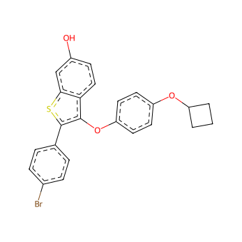 Oc1ccc2c(Oc3ccc(OC4CCC4)cc3)c(-c3ccc(Br)cc3)sc2c1